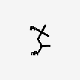 CCCC(C)CC(C)(C)C(C)C